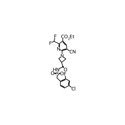 CCOC(=O)c1cc(C#N)c(N2CC(C(=O)NS(=O)(=O)Cc3ccc(Cl)cc3F)C2)nc1C(F)F